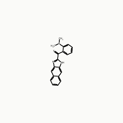 CN(C)c1ccccc1C(=S)c1nc2cc3ccccc3cc2[nH]1